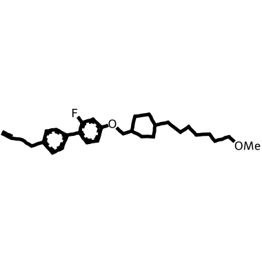 C=CCCc1ccc(-c2ccc(OCC3CCC(CCCCCCCOC)CC3)cc2F)cc1